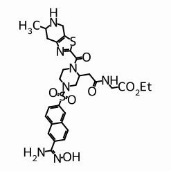 CCOC(=O)CNC(=O)CC1CN(S(=O)(=O)c2ccc3cc(/C(N)=N\O)ccc3c2)CCN1C(=O)c1nc2c(s1)CNC(C)C2